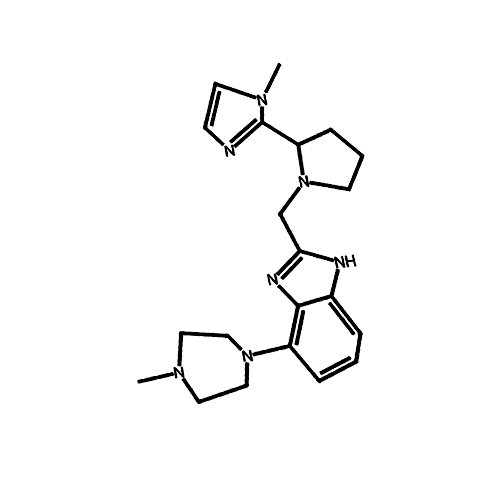 CN1CCN(c2cccc3[nH]c(CN4CCCC4c4nccn4C)nc23)CC1